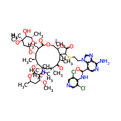 CO[C@@H]1C[C@@H](C)O[C@@H](O[C@@H]2[C@@H](C)[C@H](O[C@H]3C[C@@](C)(OC)[C@@H](O)[C@H](C)O3)[C@@H](C)C(=O)O[C@H](I)[C@@]3(C)OC(=O)C(SCCn4cnc5c(N)ncc(C(=O)Nc6c(Cl)cncc6Cl)c54)[C@@H]3[C@@H](C)C(=O)[C@H](C)C[C@@]2(C)OC)[C@H]1N(C)C